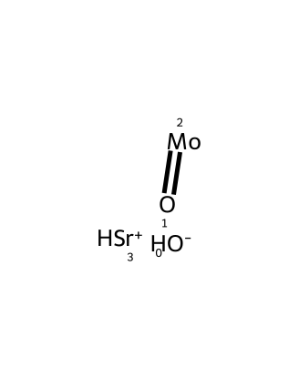 [OH-].[O]=[Mo].[SrH+]